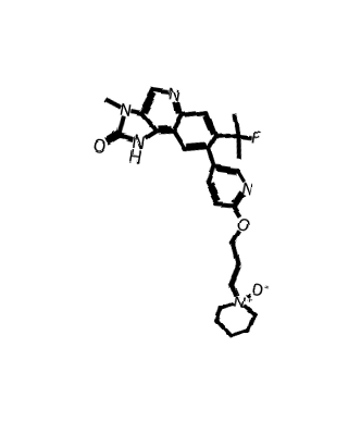 Cn1c(=O)[nH]c2c3cc(-c4ccc(OCCC[N+]5([O-])CCCCC5)nc4)c(C(C)(C)F)cc3ncc21